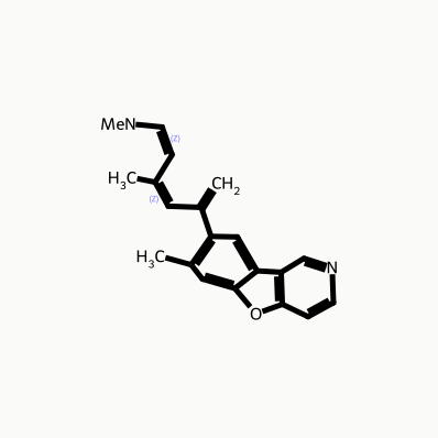 C=C(/C=C(C)\C=C/NC)c1cc2c(cc1C)oc1ccncc12